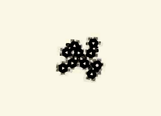 Cc1cc2c3c(c1)N(c1cccc4sc5ccccc5c14)c1cc(-c4ccccc4)ccc1B3c1ccc(N3c4ccccc4C4(C)CCCCC34C)cc1N2c1ccc2sc3ccccc3c2c1